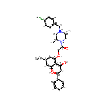 COc1cc(OCC(=O)N2C[C@@H](C)N(Cc3ccc(F)cc3)C[C@@H]2C)c2c(=O)cc(-c3ccccc3)oc2c1